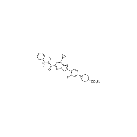 CCOC(=O)C1CCN(c2ccc(-c3cc4nc(C(=O)N5CCc6ccccc6[C@H]5C)cc(C5CC5)n4n3)c(F)c2)CC1